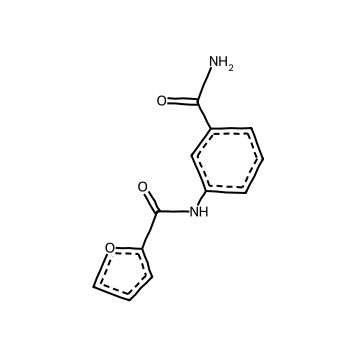 NC(=O)c1cccc(NC(=O)c2ccco2)c1